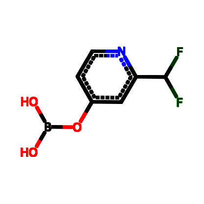 OB(O)Oc1ccnc(C(F)F)c1